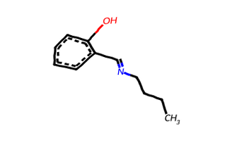 CCCC/N=C/c1ccccc1O